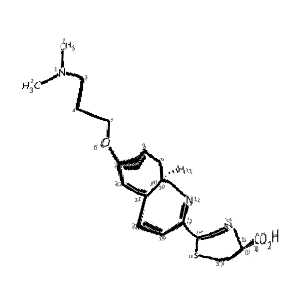 CN(C)CCCOC1=CC[C@H]2N=C(C3=N[C@@H](C(=O)O)CS3)C=CC2=C1